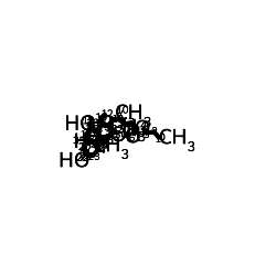 CCCCOC(=O)CC[C@@H](C)[C@H]1CC[C@H]2[C@@H]3[C@H](O)C[C@@H]4C[C@H](O)CC[C@]4(C)[C@H]3C[C@H](O)[C@]12C